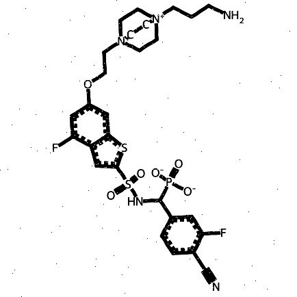 N#Cc1ccc(C(NS(=O)(=O)c2cc3c(F)cc(OCC[N+]45CC[N+](CCCN)(CC4)CC5)cc3s2)P(=O)([O-])[O-])cc1F